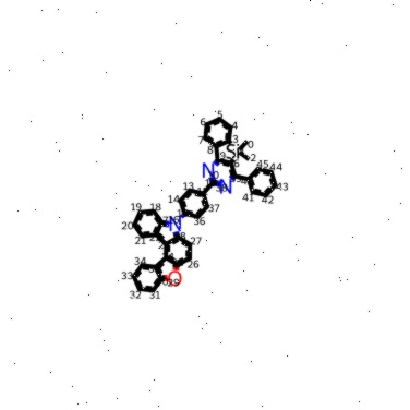 C[Si]1(C)c2ccccc2-c2nc(-c3ccc(-n4c5ccccc5c5c6c(ccc54)oc4ccccc46)cc3)nc(-c3ccccc3)c21